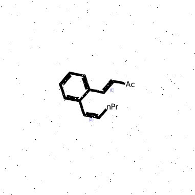 CCC/C=C\c1ccccc1/C=C/C(C)=O